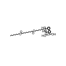 CCCCCCCCOC(=O)CCCCCCCCC(=O)OCCCCCCCC.O=C(O)c1ccccc1.O=C(O)c1ccccc1.OCCOCCO